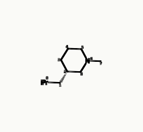 CC(C)C[C@@H]1CCCN(C)C1